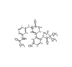 CC(=O)Nc1cccc(CN2N=C(c3cc(Cl)ccc3CC(=O)C(C)(C)C)CSC2=O)c1